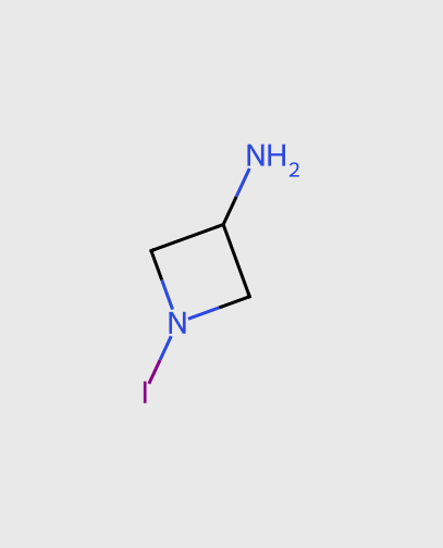 NC1CN(I)C1